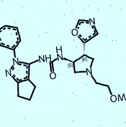 COCCN1C[C@@H](NC(=O)Nc2c3c(nn2-c2ccccc2)CCC3)[C@H](c2cnco2)C1